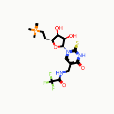 C=P(C)(C)CC[C@H]1O[C@@H](n2cc(CNC(=O)C(F)(F)F)c(=O)[nH]c2=S)[C@H](O)[C@@H]1O